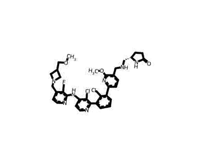 COCC1CN(Cc2ccnc(Nc3ccnc(-c4cccc(-c5ccc(CNC[C@@H]6CCC(=O)N6)c(OC)n5)c4Cl)c3Cl)c2F)C1